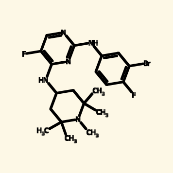 CN1C(C)(C)CC(Nc2nc(Nc3ccc(F)c(Br)c3)ncc2F)CC1(C)C